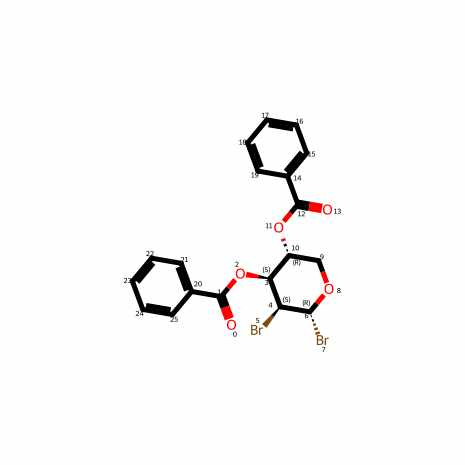 O=C(O[C@@H]1[C@H](Br)[C@@H](Br)OC[C@H]1OC(=O)c1ccccc1)c1ccccc1